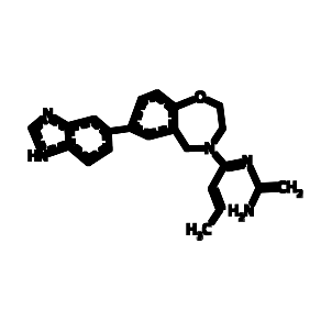 C=C(N)/N=C(\C=C\C)N1CCOc2ccc(-c3ccc4[nH]cnc4c3)cc2C1